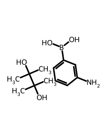 CC(C)(O)C(C)(C)O.Nc1cccc(B(O)O)c1